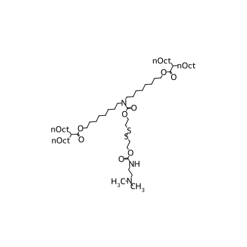 CCCCCCCCC(CCCCCCCC)C(=O)OCCCCCCCCN(CCCCCCCCOC(=O)C(CCCCCCCC)CCCCCCCC)C(=O)OCCSSCCOC(=O)NCCN(C)C